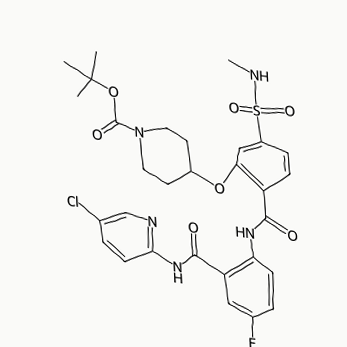 CNS(=O)(=O)c1ccc(C(=O)Nc2ccc(F)cc2C(=O)Nc2ccc(Cl)cn2)c(OC2CCN(C(=O)OC(C)(C)C)CC2)c1